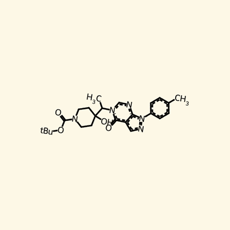 Cc1ccc(-n2ncc3c(=O)n(C(C)C4(O)CCN(C(=O)OC(C)(C)C)CC4)cnc32)cc1